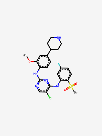 CC(C)Oc1cc(C2CCNCC2)ccc1Nc1ncc(Cl)c(Nc2cc(F)ccc2S(=O)(=O)C(C)C)n1